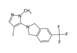 Cn1ncc(I)c1N1Cc2ccc(C(F)(F)F)cc2C1